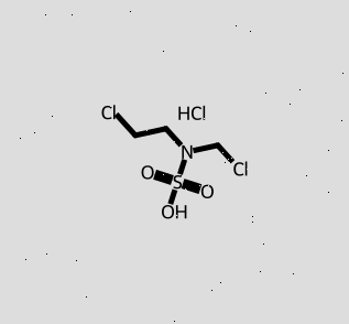 Cl.O=S(=O)(O)N(CCl)CCCl